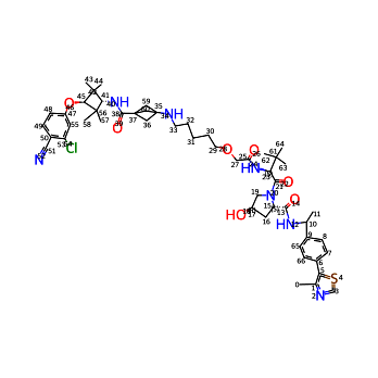 Cc1ncsc1-c1ccc(C(C)NC(=O)[C@@H]2C[C@@H](O)CN2C(=O)[C@@H](NC(=O)COCCCCCNC23CC(C(=O)N[C@H]4C(C)(C)[C@H](Oc5ccc(C#N)c(Cl)c5)C4(C)C)(C2)C3)C(C)(C)C)cc1